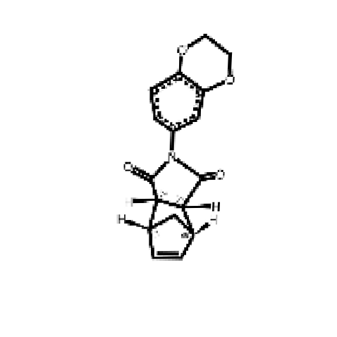 O=C1[C@@H]2[C@H](C(=O)N1c1ccc3c(c1)OCCO3)[C@@H]1C=C[C@H]2C1